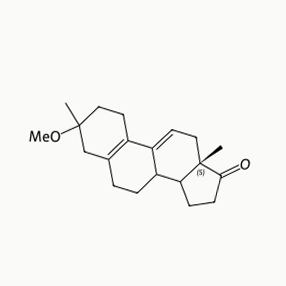 COC1(C)CCC2=C(CCC3C2=CC[C@]2(C)C(=O)CCC32)C1